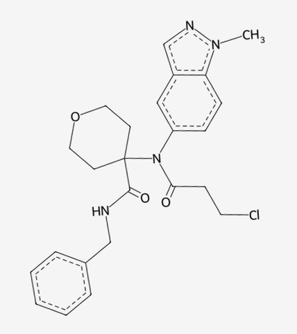 Cn1ncc2cc(N(C(=O)CCCl)C3(C(=O)NCc4ccccc4)CCOCC3)ccc21